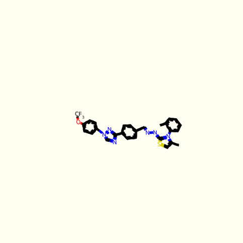 Cc1ccccc1-n1c(C)cs/c1=N\N=C\c1ccc(-c2ncn(-c3ccc(OC(F)(F)F)cc3)n2)cc1